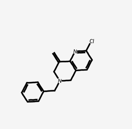 C=C1CN(Cc2ccccc2)Cc2ccc(Cl)nc21